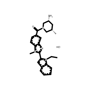 CCn1c(-c2nc3cc(C(=O)N4C[C@@H](C)C[C@@H](N)C4)ccc3n2C)cc2ccccc21.Cl